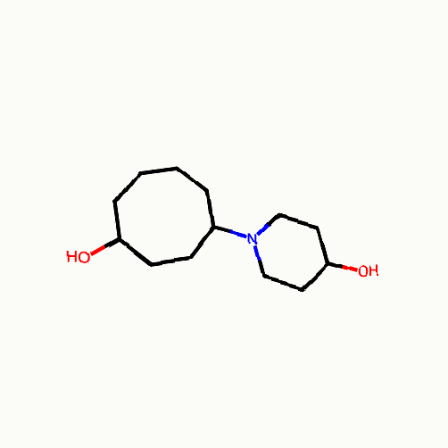 OC1CCCCC(N2CCC(O)CC2)CC1